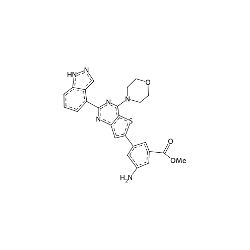 COC(=O)c1cc(N)cc(-c2cc3nc(-c4cccc5[nH]ncc45)nc(N4CCOCC4)c3s2)c1